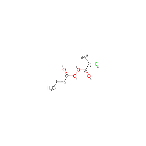 CC=CC(=O)OOC(=O)C(Cl)C(C)C